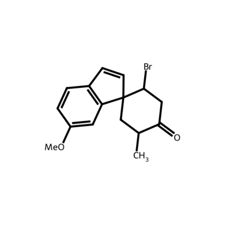 COc1ccc2c(c1)C1(C=C2)CC(C)C(=O)CC1Br